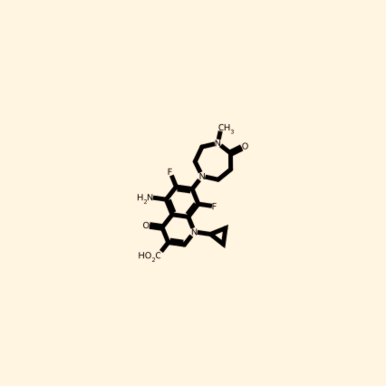 CN1CCN(c2c(F)c(N)c3c(=O)c(C(=O)O)cn(C4CC4)c3c2F)CCC1=O